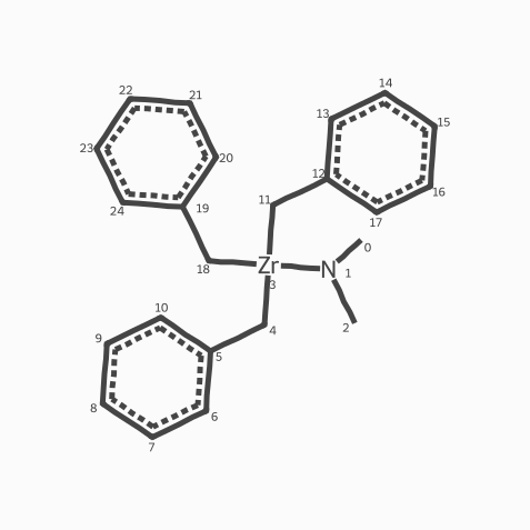 C[N](C)[Zr]([CH2]c1ccccc1)([CH2]c1ccccc1)[CH2]c1ccccc1